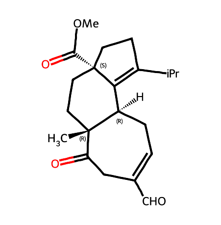 COC(=O)[C@]12CCC(C(C)C)=C1[C@H]1CC=C(C=O)CC(=O)[C@]1(C)CC2